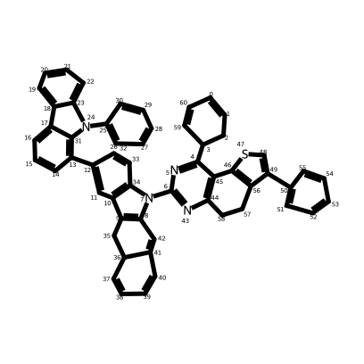 C1=CCC(c2nc(-n3c4c(c5cc(-c6cccc7c8ccccc8n(-c8ccccc8)c67)ccc53)CC3C=CC=CC3=C4)nc3c2-c2scc(-c4ccccc4)c2CC3)C=C1